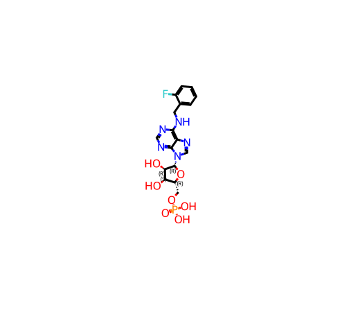 O=P(O)(O)OC[C@H]1O[C@@H](n2cnc3c(NCc4ccccc4F)ncnc32)[C@H](O)[C@@H]1O